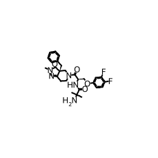 CN1N=C2CCN(C(=O)[C@@H](COc3ccc(F)c(F)c3)NC(=O)C(C)(C)N)C[C@@]2(Cc2ccccc2)C1=O